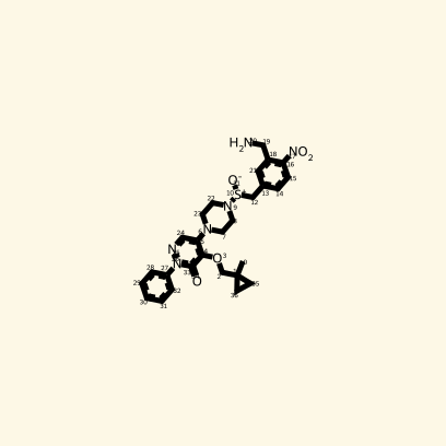 CC1(COc2c(N3CCN([S+]([O-])Cc4ccc([N+](=O)[O-])c(CN)c4)CC3)cnn(-c3ccccc3)c2=O)CC1